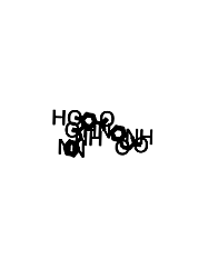 O=C1COc2cc(NC(=O)c3ccc(O)c(C(=O)Nc4cnccn4)c3)ccc2N1